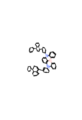 c1ccc(-c2ccc(-c3cccc(N4c5ccccc5B5c6ccccc6N(c6cccc(-c7ccc(-c8ccccc8)c8ccccc78)c6)c6cccc4c65)c3)c3ccccc23)cc1